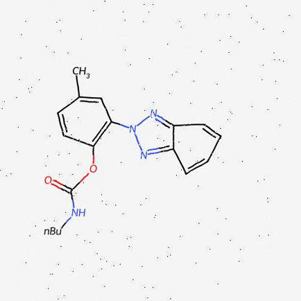 CCCCNC(=O)Oc1ccc(C)cc1-n1nc2ccccc2n1